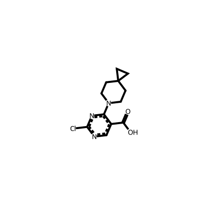 O=C(O)c1cnc(Cl)nc1N1CCC2(CC1)CC2